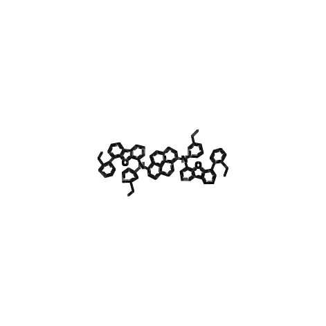 CCc1cccc(N(c2ccc3ccc4c(N(c5cccc(CC)c5)c5cccc6c5oc5c(-c7ccccc7CC)cccc56)ccc5ccc2c3c54)c2cccc3c2oc2c(-c4ccccc4CC)cccc23)c1